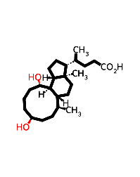 CC(CCC(=O)O)[C@H]1CC[C@H]2[C@H]3[C@H](CC[C@]12C)[C@@H](C)CC[C@@H](O)CCC[C@@H]3O